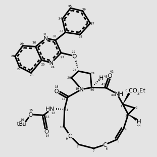 CCOC(=O)[C@@]12C[C@@H]1C=CCCCCC[C@H](NC(=O)OC(C)(C)C)C(=O)N1C[C@H](Oc3nc4ccccc4nc3-c3ccccc3)C[C@H]1C(=O)N2